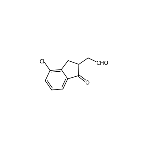 O=CCC1Cc2c(Cl)cccc2C1=O